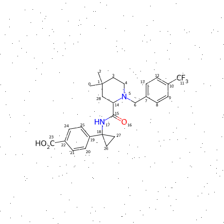 CC1(C)CCN(Cc2ccc(C(F)(F)F)cc2)C(C(=O)NC2(c3ccc(C(=O)O)cc3)CC2)C1